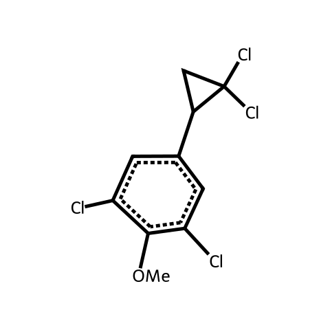 COc1c(Cl)cc(C2CC2(Cl)Cl)cc1Cl